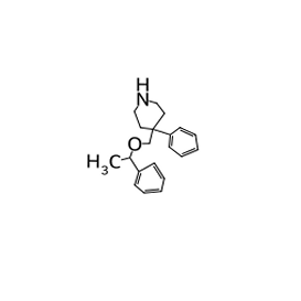 CC(OCC1(c2ccccc2)CCNCC1)c1ccccc1